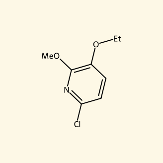 CCOc1ccc(Cl)nc1OC